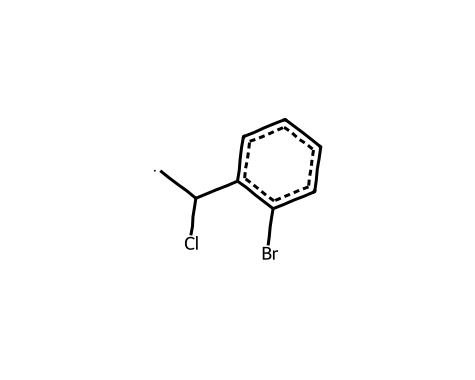 [CH2]C(Cl)c1ccccc1Br